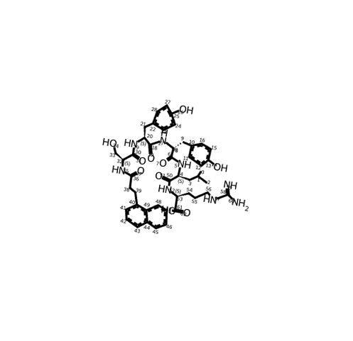 CC(C)C[C@H](NC(=O)[C@@H](Cc1ccc(O)cc1)NC(=O)[C@H](Cc1ccc(O)cc1)NC(=O)[C@H](CO)NC(=O)CCc1cccc2ccccc12)C(=O)N[C@@H](CCCNC(=N)N)C(=O)O